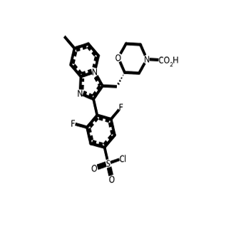 Cc1ccn2c(C[C@H]3CN(C(=O)O)CCO3)c(-c3c(F)cc(S(=O)(=O)Cl)cc3F)nc2c1